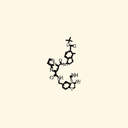 Cc1c(C(=O)OC(C)(C)C)ccc2c1CC[C@@H]2NC(=O)c1cc(C(=O)NCc2ccc3c(c2)N(C=N)C(=N)CO3)nc2ccnn12